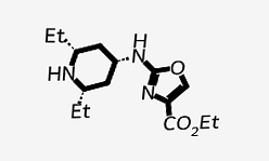 CCOC(=O)c1coc(N[C@H]2C[C@@H](CC)N[C@@H](CC)C2)n1